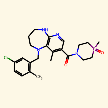 Cc1c(C(=O)N2CCP(C)(=O)CC2)cnc2c1N(Cc1cc(Cl)ccc1C(F)(F)F)CCCN2